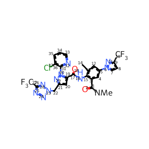 CNC(=O)c1cc(-n2ccc(C(F)(F)F)n2)cc(C)c1NC(=O)c1cc(Cn2nnc(C(F)(F)F)n2)nn1-c1ncccc1Cl